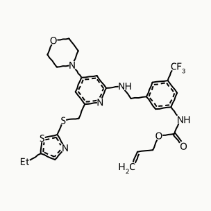 C=CCOC(=O)Nc1cc(CNc2cc(N3CCOCC3)cc(CSc3ncc(CC)s3)n2)cc(C(F)(F)F)c1